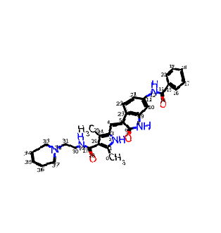 Cc1[nH]c(C=C2C(=O)Nc3cc(NC(=O)c4ccccc4)ccc32)c(C)c1C(=O)NCCN1CCCCC1